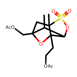 CC(=O)OCCC12OC3(COC(C)=O)CC1(C)S(=O)(=O)OC2C3C